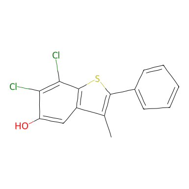 Cc1c(-c2ccccc2)sc2c(Cl)c(Cl)c(O)cc12